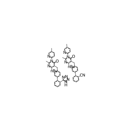 CCCCc1nc(C)n(-c2ccc(C)cn2)c(=O)c1Cc1ccc(-c2ccccc2-c2nnn[nH]2)cc1.CCCCc1nc(C)n(-c2ccc(C)cn2)c(=O)c1Cc1ccc(-c2ccccc2C#N)cc1